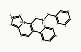 c1ccc(CNCc2c(-c3ccccc3)ccc3cncn23)cc1